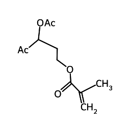 C=C(C)C(=O)OCCC(OC(C)=O)C(C)=O